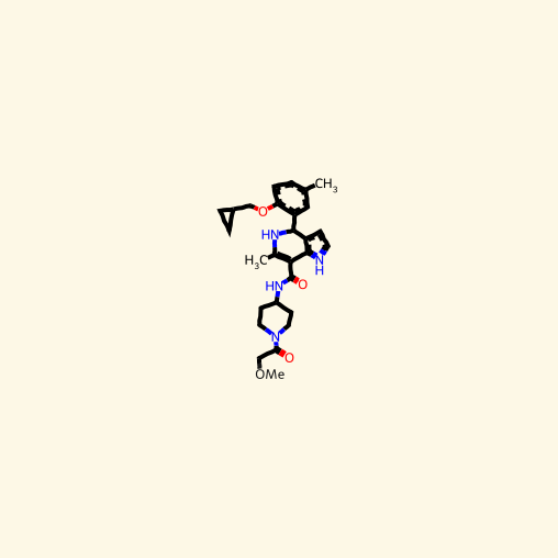 COCC(=O)N1CCC(NC(=O)C2=C(C)NC(c3cc(C)ccc3OCC3CC3)c3cc[nH]c32)CC1